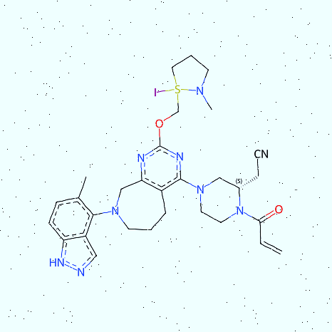 C=CC(=O)N1CCN(c2nc(OCS3(I)CCCN3C)nc3c2CCCN(c2c(C)ccc4[nH]ncc24)C3)C[C@@H]1CC#N